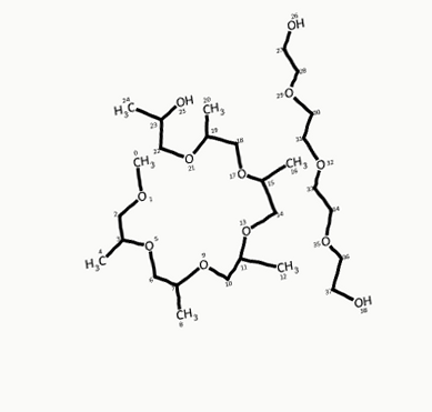 COCC(C)OCC(C)OCC(C)OCC(C)OCC(C)OCC(C)O.OCCOCCOCCOCCO